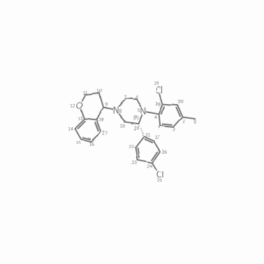 Cc1ccc(N2CCN(C3CCOc4ccccc43)C[C@H]2c2ccc(Cl)cc2)c(Cl)c1